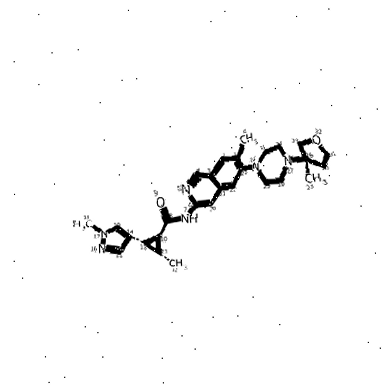 Cc1cc2cnc(NC(=O)[C@H]3[C@H](C)[C@@H]3c3cnn(C)c3)cc2cc1N1CCN([C@@]2(C)CCOC2)CC1